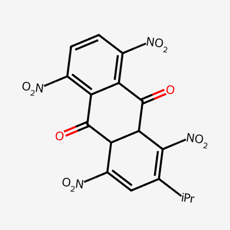 CC(C)C1=C([N+](=O)[O-])C2C(=O)c3c([N+](=O)[O-])ccc([N+](=O)[O-])c3C(=O)C2C([N+](=O)[O-])=C1